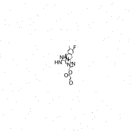 CO/C=C/C(=O)OCc1cnc2c(Cc3cc(F)c(C)cc3F)nc(C(=N)N)cn12